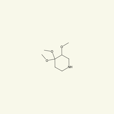 COC1CNCCC1(OC)OC